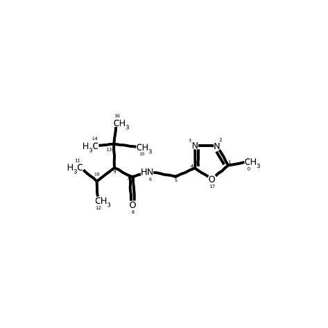 Cc1nnc(CNC(=O)C(C(C)C)C(C)(C)C)o1